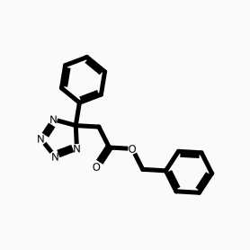 O=C(CC1(c2ccccc2)N=NN=N1)OCc1ccccc1